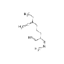 C=C=C(CC)CCCC(C=N)/C=N\C